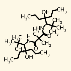 CCCC(O)(CCC)[C@H](NC(=O)C(C)(C)C(=O)N[C@H](C(C)(C)C)C(O)(CCC)CCC)C(C)(C)C